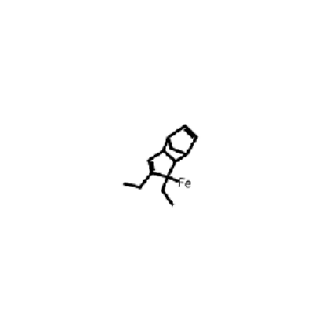 CCC1=CC2C3C=CC(C3)C2[C]1([Fe])CC